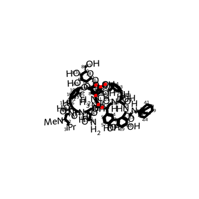 CN[C@H](CC(C)C)C(=O)N[C@H]1C(=O)N[C@@H](CC(N)=O)C(=O)N[C@H]2C(=O)N[C@H]3C(=O)N[C@H](C(=O)N[C@H](C(=O)NC4C5CC6CC(C5)CC4C6)c4cc(O)cc(O)c4-c4cc3ccc4O)[C@H](O)c3ccc(c(Cl)c3)Oc3cc2cc(c3O[C@@H]2O[C@H](CO)[C@@H](O)[C@H](O)[C@H]2O[C@H]2C[C@](C)(N)[C@H](O)[C@H](C)O2)Oc2ccc(cc2C)[C@H]1O